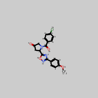 O=C1CC(c2nc(-c3ccc(OC(F)(F)F)cc3)no2)N(C(=O)c2ccc(Cl)cc2)C1